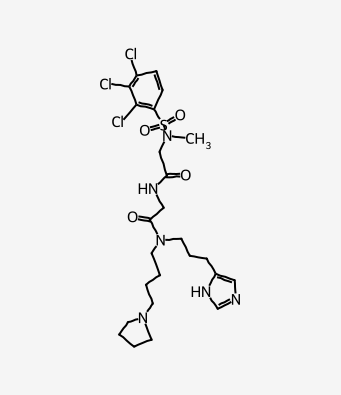 CN(CC(=O)NCC(=O)N(CCCCN1CCCC1)CCCc1cnc[nH]1)S(=O)(=O)c1ccc(Cl)c(Cl)c1Cl